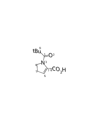 CC(C)(C)C(=O)N1CCC=C1C(=O)O